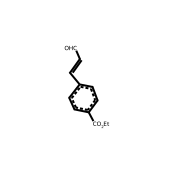 CCOC(=O)c1ccc(/C=C/C=O)cc1